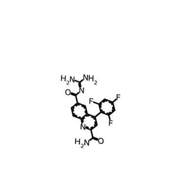 NC(=O)c1cc(-c2c(F)cc(F)cc2F)c2cc(C(=O)N=C(N)N)ccc2n1